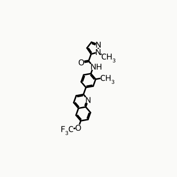 Cc1cc(-c2ccc3cc(OC(F)(F)F)ccc3n2)ccc1NC(=O)c1ccnn1C